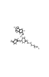 CCCCCCN1CC[C@@H](c2ccc(F)cc2)[C@H](COc2ccc3c(c2)OCO3)C1